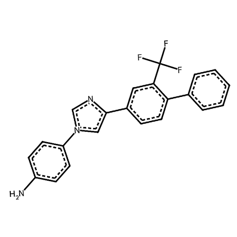 Nc1ccc(-n2cnc(-c3ccc(-c4ccccc4)c(C(F)(F)F)c3)c2)cc1